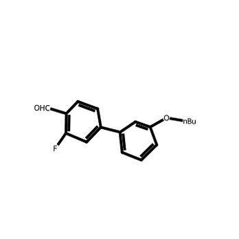 CCCCOc1cccc(-c2ccc(C=O)c(F)c2)c1